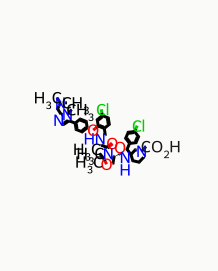 CC(NCc1ccc(Cl)cc1Oc1ccc(-c2cnc(CN(C)C)n2C)cc1)C(=O)N1[C@H](C(=O)NC2(Cc3ccc(Cl)cc3)CCCN(C(=O)O)C2)COC1(C)C